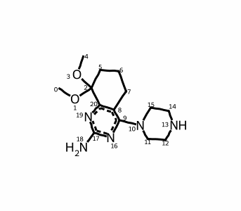 COC1(OC)CCCc2c(N3CCNCC3)nc(N)nc21